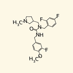 COc1ccc(CNC(=O)N(Cc2ccc(F)cc2F)CC2CCN(C)C2)cc1F